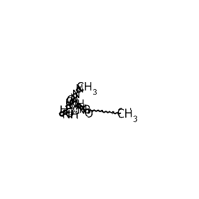 CCCCCCCCCCCCCCCCCC(=O)OCn1cc2cc(CC(NC(=O)N3CCC(c4cc5ccccc5[nH]c4=O)CC3)C(=O)N3CCN(C4CCN(C)CC4)CC3)cc(C)c2n1